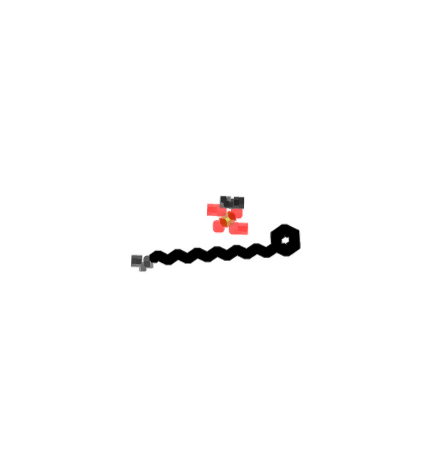 CCCCCCCCCCCCCc1ccccc1.O=S(=O)(O)O.[NaH]